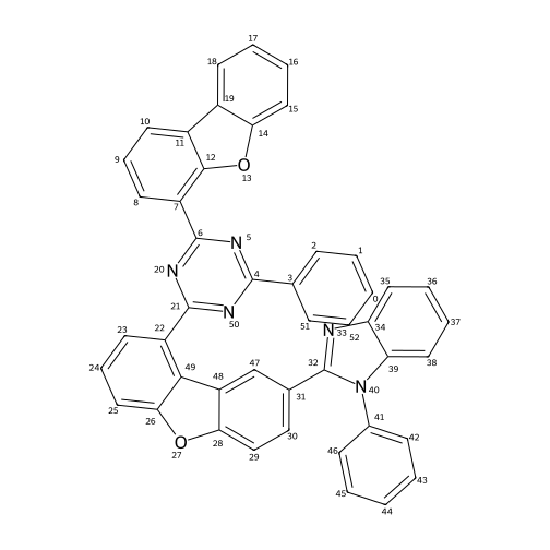 c1ccc(-c2nc(-c3cccc4c3oc3ccccc34)nc(-c3cccc4oc5ccc(-c6nc7ccccc7n6-c6ccccc6)cc5c34)n2)cc1